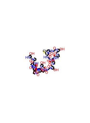 CSCC[C@H](NC(=O)CNC(=O)[C@@H]1CCCN1C(=O)[C@@H]1C[C@@H](O)CN1C(=O)CNC(=O)[C@@H]1CCCN1C(=O)[C@@H]1C[C@@H](O)CN1C(=O)CNC(=O)[C@@H]1CCCN1C(=O)[C@@H]1C[C@@H](O)CN1C(=O)CNC(=O)[C@@H]1CCCN1C(=O)[C@@H]1C[C@@H](O)CN1C(=O)CNC(=O)[C@@H]1CCCN1C(=O)[C@@H]1C[C@@H](O)CN1)C(=O)N1CCC[C@H]1C(=O)NCC(=O)N1C[C@H](O)C[C@H]1C(=O)N1CCC[C@H]1C(=O)NCC(=O)O